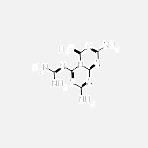 C=C1N=C(N)N=C2N=C(N)N=C(N=C(N)N)N12